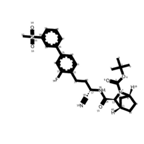 CC(C)(C)OC(=O)N1[C@@H]2CC[C@@H](C2)[C@H]1C(=O)N[C@H](C#N)CCc1ccc(-c2cccc(S(C)(=O)=O)c2)cc1F